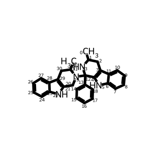 CC1Cc2c([nH]c3ccccc23)C(c2ccccc2)(N2Cc3[nH]c4ccccc4c3CC2C)N1